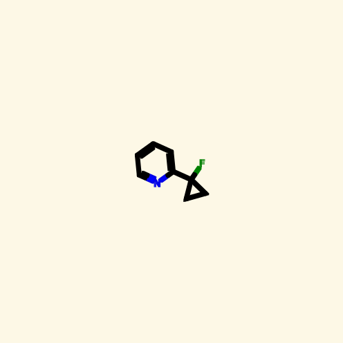 FC1(c2ccccn2)CC1